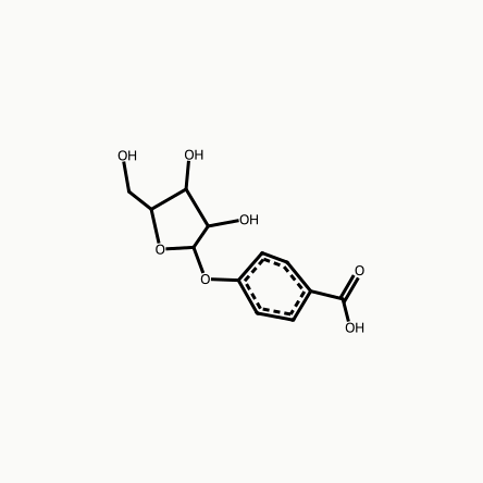 O=C(O)c1ccc(OC2OC(CO)C(O)C2O)cc1